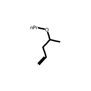 [CH]=CCC(C)OCCC